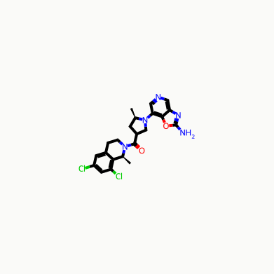 C[C@@H]1CC(C(=O)N2CCc3cc(Cl)cc(Cl)c3[C@@H]2C)CN1c1cncc2nc(N)oc12